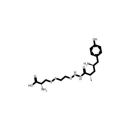 C[C@@H](C[C@@H](N)Cc1ccc(O)cc1)C(=O)NNOCCSSC[C@H](N)C(=O)O